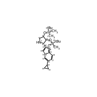 CC(C)(C)[Si](C)(C)OC1CN[C@@H](c2cn3cc(C4CC4)ccc3n2)C1O[Si](C)(C)C(C)(C)C